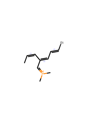 C\C=C/C(C=[PH](C)C)=C\C=C\CC